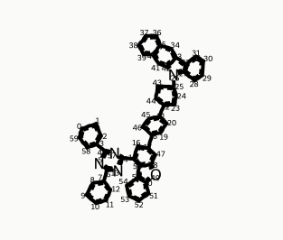 c1ccc(-c2nc(-c3ccccc3)nc(-c3cc(-c4ccc(-c5ccc(-n6c7ccccc7c7cc8ccccc8cc76)cc5)cc4)cc4oc5ccccc5c34)n2)cc1